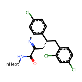 CCCCCCCNC(=O)/C(C[C@@H](Cc1ccc(Cl)cc1Cl)c1ccc(Cl)cc1)=N/C